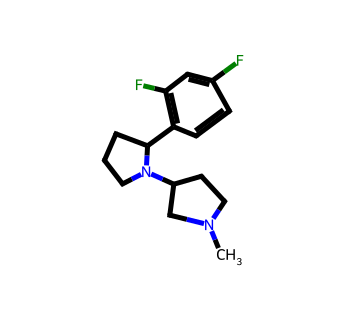 CN1CCC(N2CCCC2c2ccc(F)cc2F)C1